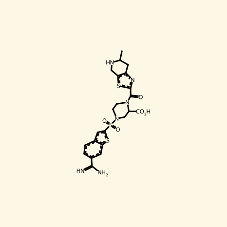 CC1Cc2nc(C(=O)N3CCN(S(=O)(=O)c4cc5ccc(C(=N)N)cc5s4)CC3C(=O)O)sc2CN1